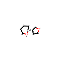 C1CCOC1.C1CC[SiH2]OC1